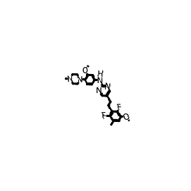 COc1cc(Nc2ncc(CCc3c(F)c(C)cc(OC)c3F)cn2)ccc1N1CCN(C)CC1